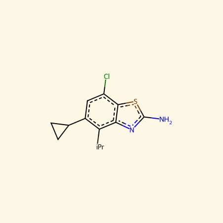 CC(C)c1c(C2CC2)cc(Cl)c2sc(N)nc12